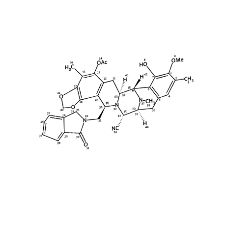 COc1c(C)cc2c(c1O)[C@H]1[C@@H]3Cc4c(OC(C)=O)c(C)c5c(c4[C@H](CN4Cc6ccccc6C4=O)N3[C@@H](C#N)[C@H](C2)N1C)OCO5